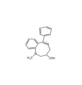 CC(=O)OC1C/N=C(/c2ccccc2)c2ccccc2N(C)C1